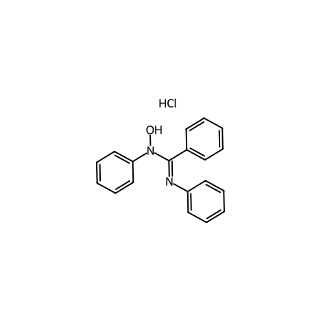 Cl.ON(/C(=N/c1ccccc1)c1ccccc1)c1ccccc1